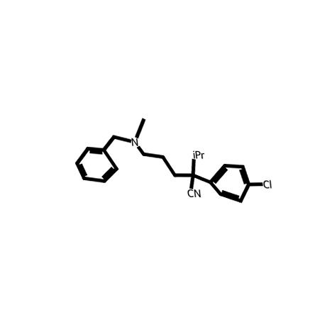 CC(C)C(C#N)(CCCN(C)Cc1ccccc1)c1ccc(Cl)cc1